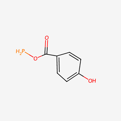 O=C(OP)c1ccc(O)cc1